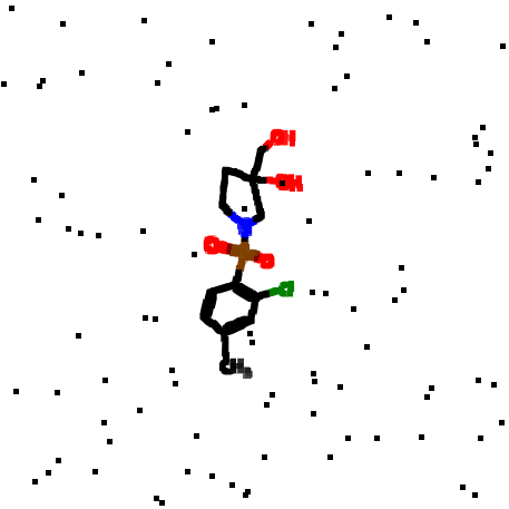 Cc1ccc(S(=O)(=O)N2CCC(O)(CO)C2)c(Cl)c1